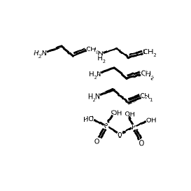 C=CCN.C=CCN.C=CCN.C=CCN.O=P(O)(O)OP(=O)(O)O